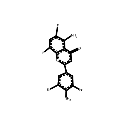 Nc1c(Br)cc(-c2cc(=O)c3c(N)c(F)cc(F)c3o2)cc1Br